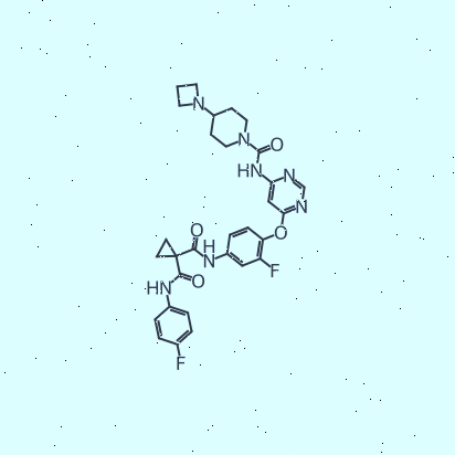 O=C(Nc1cc(Oc2ccc(NC(=O)C3(C(=O)Nc4ccc(F)cc4)CC3)cc2F)ncn1)N1CCC(N2CCC2)CC1